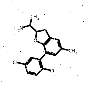 Cc1cc2c(c(-c3cc(Cl)ccc3Cl)c1)OC(C(C)N)C2